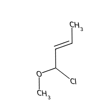 CC=CC(Cl)OC